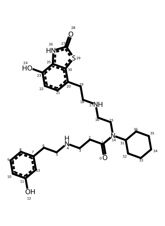 O=C(CCNCCc1cccc(O)c1)N(CCNCCc1ccc(O)c2[nH]c(=O)sc12)C1CCCCC1